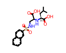 CC(C)C[C@H](NC(CNS(=O)(=O)c1ccc2ccccc2c1)C(=O)O)C(=O)O